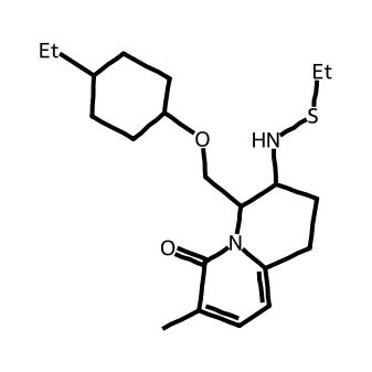 CCSNC1CCc2ccc(C)c(=O)n2C1COC1CCC(CC)CC1